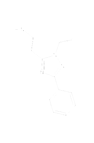 NCCc1nc(-c2ccccc2)nn1CC(F)(F)F